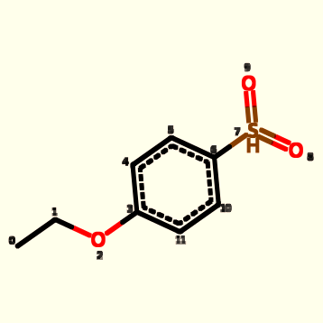 CCOc1ccc([SH](=O)=O)cc1